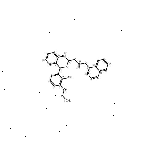 CCOc1cccc(C2CC(CNCc3cccc4ccccc34)Oc3ccccc32)c1F